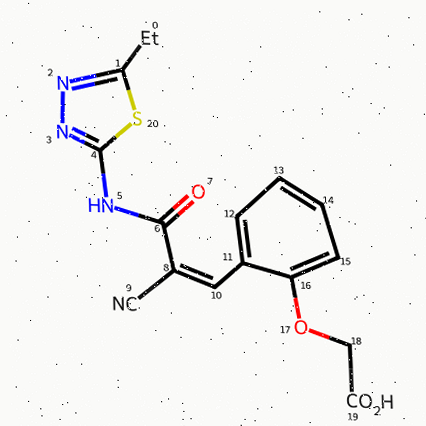 CCc1nnc(NC(=O)C(C#N)=Cc2ccccc2OCC(=O)O)s1